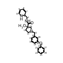 C[C@]1(C(=O)NCC2C=CC=CN2)CCN(Cc2cccc(Oc3ccccc3)c2)C1